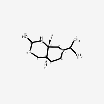 CC(C)N1CC[C@H]2COC(O)N[C@@H]2C1